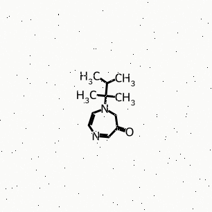 CC(C)C(C)(C)N1C=CN=CC(=O)C1